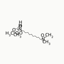 C=CC(=O)N(C)CCCCCCCCCCC(=O)NC1(CO)COC(C)(C)OC1